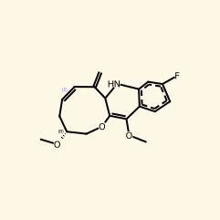 C=C1/C=C\C[C@@H](OC)COC2=C(OC)c3ccc(F)cc3NC12